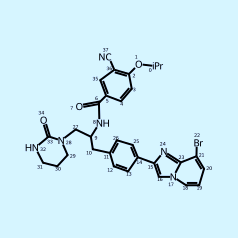 CC(C)Oc1ccc(C(=O)NC(Cc2ccc(-c3cn4cccc(Br)c4n3)cc2)CN2CCCNC2=O)cc1C#N